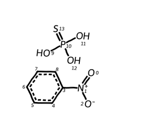 O=[N+]([O-])c1ccccc1.OP(O)(O)=S